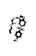 C=CCONC=O.COc1ccc(S(=O)(=O)N2CCc3ncn(C)c3C2)cc1